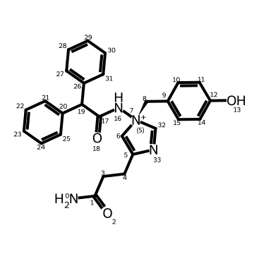 NC(=O)CCC1=C[N@+](Cc2ccc(O)cc2)(NC(=O)C(c2ccccc2)c2ccccc2)C=N1